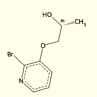 C[C@@H](O)COc1cccnc1Br